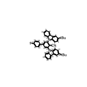 CC(C)(C)c1ccc2c(c1)c1ccccc1n2-c1cc(-c2ccc(F)cc2)cc(-n2c3ccccc3c3cc(C(C)(C)C)ccc32)c1C#N